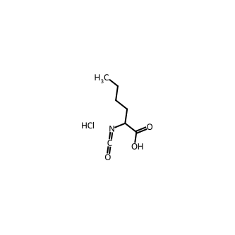 CCCCC(N=C=O)C(=O)O.Cl